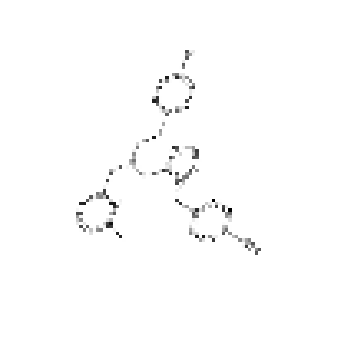 Cc1cccc(CN(CCc2ccc(Br)cc2)Cc2nncn2Cc2ccc(C#N)cc2)n1